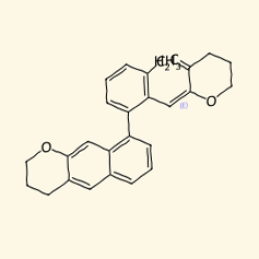 C=C1CCCO/C1=C/c1c(C)cccc1-c1cccc2cc3c(cc12)OCCC3